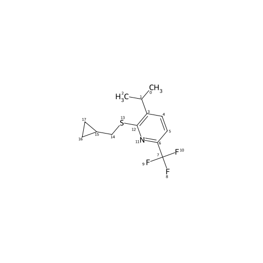 CC(C)c1ccc(C(F)(F)F)nc1SCC1CC1